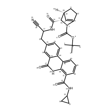 CC(C)(C)OC(=O)N1C2=C[C@H](CC2)[C@H]1C(=O)NC(C#N)Cc1ccc2c(c1)c(=O)[nH]c1c(C(=O)NC3CC3)cccc12